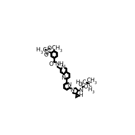 Cc1ccc(C(=O)NCc2cc3nc(-c4cccc(N5CC(NC(=O)OC(C)(C)C)C6(CC6)C5)n4)ccc3cn2)cc1S(C)(=O)=O